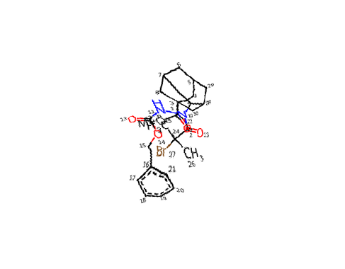 COC(=O)C12CC3CC(C1)C(N(NC(=O)OCc1ccccc1)C(=O)C(C)(C)Br)C(C3)C2